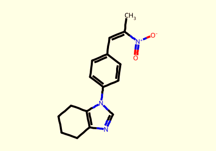 CC(=Cc1ccc(-n2cnc3c2CCCC3)cc1)[N+](=O)[O-]